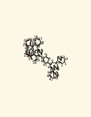 c1ccc(-c2cc(-c3ccc(-c4nc5c(c6ccccc46)C4(c6ccccc6-c6ccccc64)c4ccccc4-5)cc3)cc(-c3ccccn3)n2)nc1